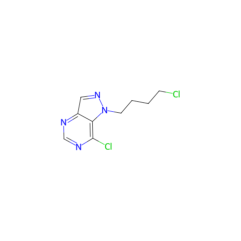 ClCCCCn1ncc2ncnc(Cl)c21